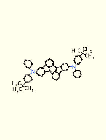 CC(C)(C)c1ccc(N(c2ccccc2)c2ccc3c(c2)c2cccc4c2c3c2cccc3c5cc(N(c6ccccc6)c6ccc(C(C)(C)C)cc6)ccc5c4c32)cc1